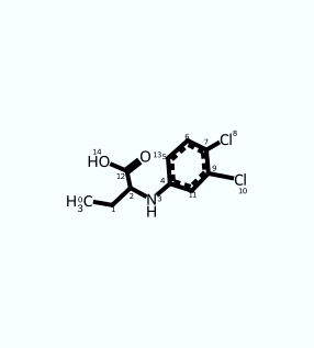 CCC(Nc1ccc(Cl)c(Cl)c1)C(=O)O